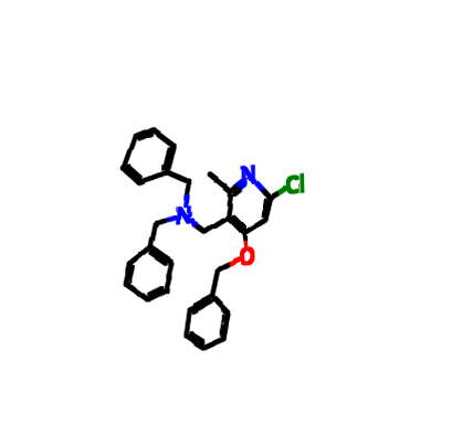 Cc1nc(Cl)cc(OCc2ccccc2)c1CN(Cc1ccccc1)Cc1ccccc1